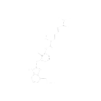 CC(C)OCc1cccc2[nH]c(Cn3cccc(NC(=O)C(CC/C=C/C(=O)N(C)C)NC(=O)O)c3=O)nc12